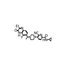 CCc1nc2ccc(C(C)N3CCN(c4ccc(C(=O)NC5CC5)nc4C#N)CC3)c(F)c2[nH]c1=O